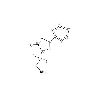 CC(C)(CN)N1CC(c2ccccc2)CC1=O